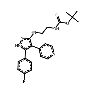 CC(C)(C)OC(=O)NCCNc1n[nH]c(-c2ccc(F)cc2)c1-c1ccncc1